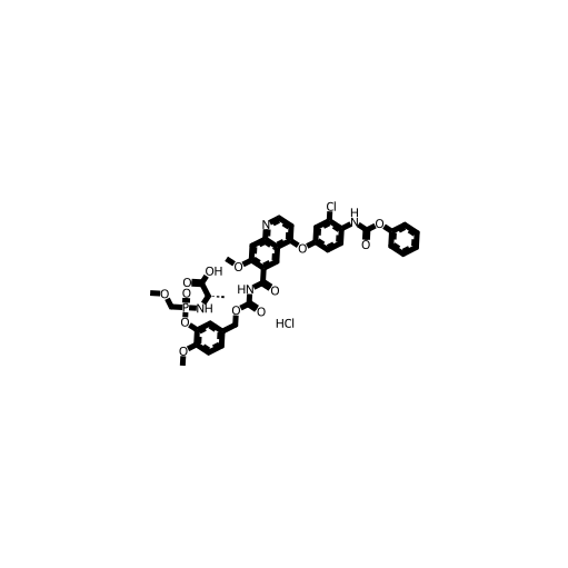 COCP(=O)(N[C@@H](C)C(=O)O)Oc1cc(COC(=O)NC(=O)c2cc3c(Oc4ccc(NC(=O)Oc5ccccc5)c(Cl)c4)ccnc3cc2OC)ccc1OC.Cl